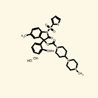 COc1ccccc1C1(OC(=O)N2CCC(N3CCN(C)CC3)CC2)C(=O)N(S(=O)(=O)c2cccs2)c2ccc(C)cc21.Cl.Cl